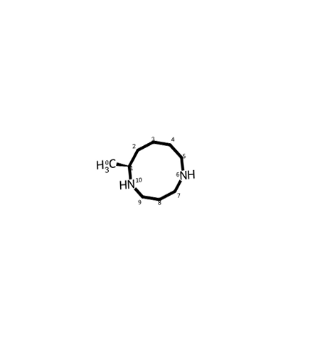 C[C@H]1CCCCNCCCN1